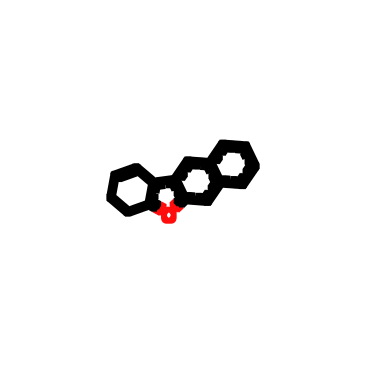 C1=Cc2c(oc3cc4ccccc4cc23)CC1